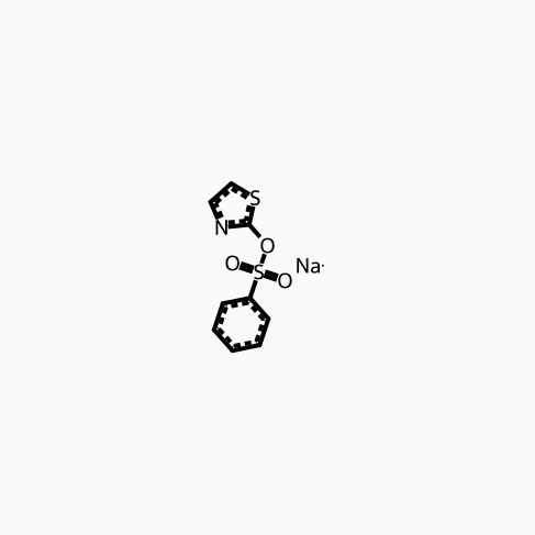 O=S(=O)(Oc1nccs1)c1ccccc1.[Na]